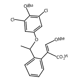 COC=C(C(=O)O)c1ccccc1C(C)Oc1cc(Cl)c(OCC(C)C)c(Cl)c1